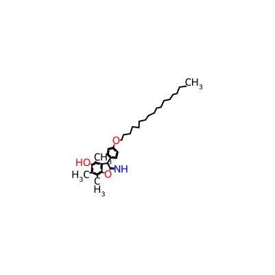 CCCCCCCCCCCCCCCCCCOc1ccc(C2C(=N)Oc3c(C)c(C)c(O)c(C)c32)cc1